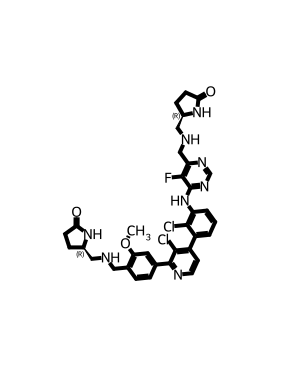 COc1cc(-c2nccc(-c3cccc(Nc4ncnc(CNC[C@H]5CCC(=O)N5)c4F)c3Cl)c2Cl)ccc1CNC[C@H]1CCC(=O)N1